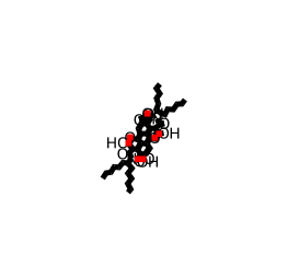 CCCCCCC(CCCCCC)N1C(=O)C2(C(=O)O)C=Cc3c4c5c(c6c3=C2C(C(=O)O)(C=C6)C1=O)C=CC1(C(=O)O)C(=O)N(C(CCCCCC)CCCCCC)C(=O)C(C(=O)O)(C=C4)C=51